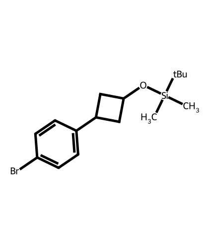 CC(C)(C)[Si](C)(C)OC1CC(c2ccc(Br)cc2)C1